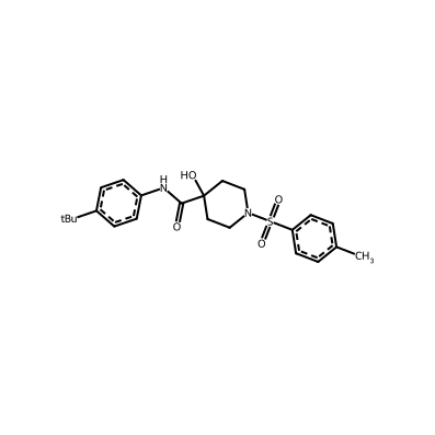 Cc1ccc(S(=O)(=O)N2CCC(O)(C(=O)Nc3ccc(C(C)(C)C)cc3)CC2)cc1